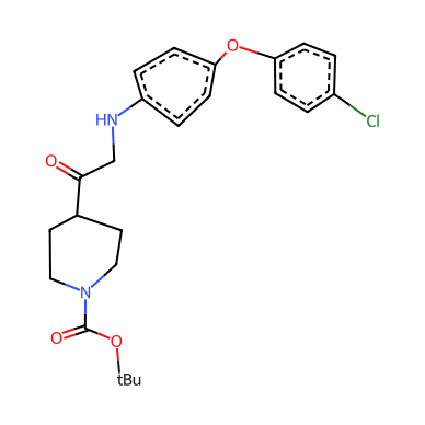 CC(C)(C)OC(=O)N1CCC(C(=O)CNc2ccc(Oc3ccc(Cl)cc3)cc2)CC1